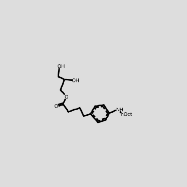 CCCCCCCCNc1ccc(CCCC(=O)OCC(O)CO)cc1